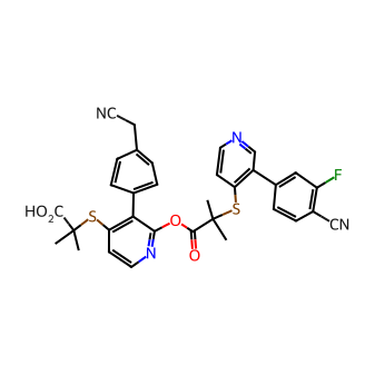 CC(C)(Sc1ccnc(OC(=O)C(C)(C)Sc2ccncc2-c2ccc(C#N)c(F)c2)c1-c1ccc(CC#N)cc1)C(=O)O